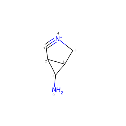 NC1C2C#[N+]CC12